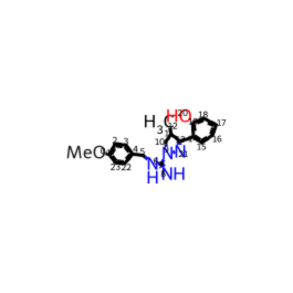 COc1ccc(CNC(=N)N2CC(C)C(c3ccccc3O)=N2)cc1